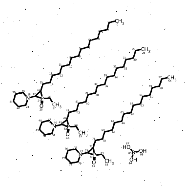 CCCCCCCCCCCCCCCCC1C(N2CCCCC2)P1(=O)CC.CCCCCCCCCCCCCCCCC1C(N2CCCCC2)P1(=O)CC.CCCCCCCCCCCCCCCCC1C(N2CCCCC2)P1(=O)CC.OB(O)O